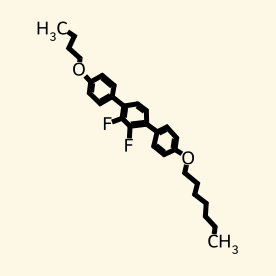 CCCCCCCOc1ccc(-c2ccc(-c3ccc(OCCCC)cc3)c(F)c2F)cc1